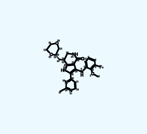 COc1c(F)cccc1Nc1c(-c2ccnc(C)n2)[nH]c2c1C(=O)NC[C@@H]2C[C@H]1COCCO1